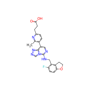 Cc1nc(CCC(=O)O)ccc1-c1cnc(NCc2c(F)ccc3c2CCO3)n2cnnc12